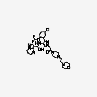 O=C(Cn1cc(NC(O)c2cnn3cccnc23)c(-c2cc(Cl)ccc2OC(F)F)n1)N1CCN(CCN2CCOCC2)CC1